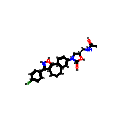 CC(=O)NC[C@H]1CN(c2ccc3c(c2)CCCc2c(-c4ccc(F)cc4)noc2-3)C(=O)O1